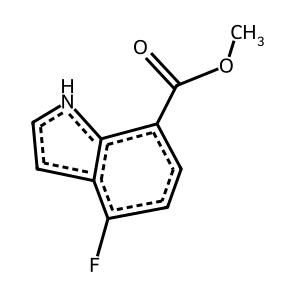 COC(=O)c1ccc(F)c2cc[nH]c12